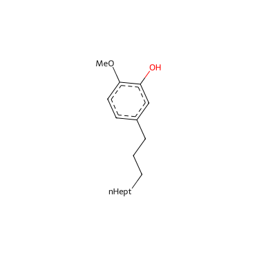 CCCCCCCCCCc1ccc(OC)c(O)c1